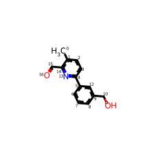 Cc1ccc(-c2cccc(CO)c2)nc1C=O